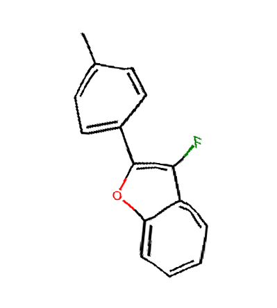 Cc1ccc(-c2oc3ccccc3c2F)cc1